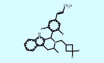 CC1Cc2c([nH]c3ccccc23)C(c2c(F)cc(/C=C/C(=O)O)cc2F)N1CC1CC(F)(F)C1